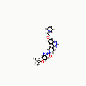 CC(C)Oc1ccc(NC(=O)N2CCC(c3ncnc4cc(OCCN5CCCCC5)ccc34)CC2)cc1